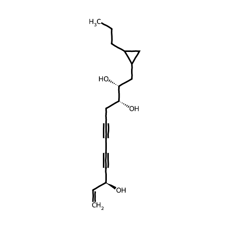 C=C[C@H](O)C#CC#CC[C@@H](O)[C@H](O)CC1CC1CCC